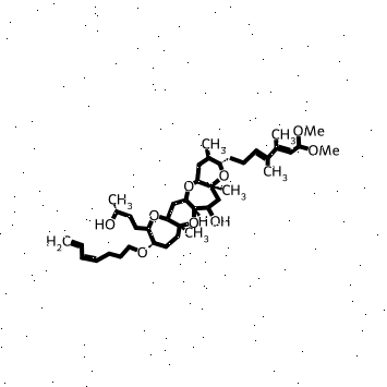 C=C/C=C\CCCO[C@H]1CC[C@@]2(C)O[C@H]3C(O)C[C@@]4(C)O[C@@H](CC/C=C(C)/C(C)=C/C(OC)OC)C(C)CC4OC3CC2OC1CC[C@@H](C)O